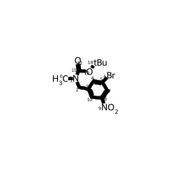 CN(Cc1cc(Br)cc([N+](=O)[O-])c1)C(=O)OC(C)(C)C